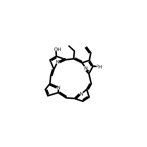 [2H]C1=C(C=C)C2=C(CC)C3=NC(=CC4=NC(=CC5=NC(=CC1=N2)C=C5)C=C4)C=C3O